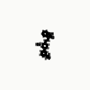 Br.O=c1[nH]c2ccccc2n1CCN1CCN(c2cccc(C(F)(F)F)c2)CC1